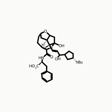 CCCC[C@H]1CCC(C(O)/C=C/[C@@H]2[C@H]3CC4CCCC(C(=O)N[C@@H](Cc5ccccc5)C(=O)O)OC2(O)CC3O4)C1